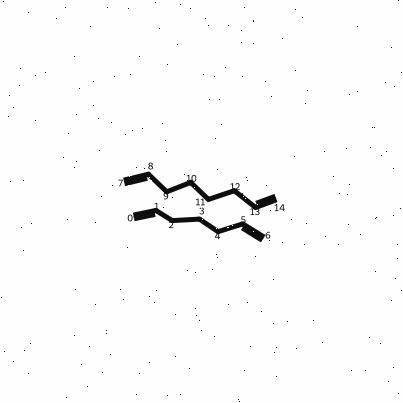 C=CCCCC=C.C=CCCCCC=C